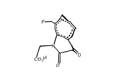 O=C(O)CN1C(=O)C(=O)c2cccc(F)c21